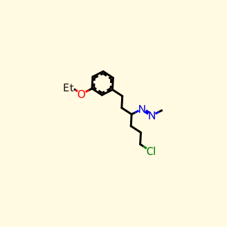 CCOc1cccc(CCC(CCCCl)N=NC)c1